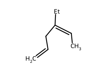 C=CCC(=CC)CC